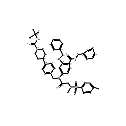 Cc1ccc(S(=O)(=O)N(C)CC(=O)N(Cc2ccc(C3CCN(C(=O)OC(C)(C)C)CC3)cc2)c2ccc(C(=O)OCc3ccccc3)c(OCc3ccccc3)c2)cc1